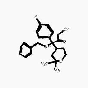 CC1(C)CC(C(NCc2ccccc2)(C(=O)CO)c2ccc(F)cc2)CCO1